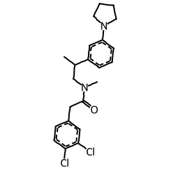 CC(CN(C)C(=O)Cc1ccc(Cl)c(Cl)c1)c1cccc(N2CCCC2)c1